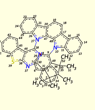 CC1C(C)(C)c2cccc(-n3c4ccccc4c4ccc5c6ccccc6n(-c6nc(-c7ccccc7)nc7sc8ccccc8c67)c5c43)c2C1(C)C